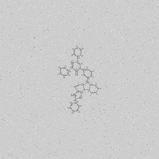 C1=CC2C3C4=C(C=CC3N(c3cccc(C5C=C(c6ccccc6)N=C(c6ccccc6)N5)c3)C2C=C1)NC(c1ccccc1)O4